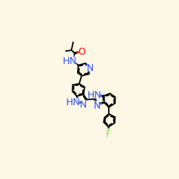 CC(C)C(=O)Nc1cncc(-c2ccc3[nH]nc(-c4nc5c(-c6ccc(F)cc6)cccc5[nH]4)c3c2)c1